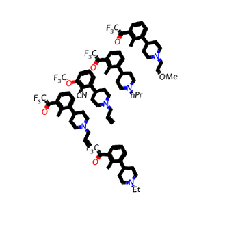 C=CCN1CCC(c2cccc(C(=O)C(F)(F)F)c2C)CC1.C=CCN1CCC(c2cccc(OC(F)(F)F)c2C#N)CC1.CCCN1CCC(c2cccc(C(=O)C(F)(F)F)c2C)CC1.CCN1CCC(c2cccc(C(=O)C(F)(F)F)c2C)CC1.COCCN1CCC(c2cccc(C(=O)C(F)(F)F)c2C)CC1